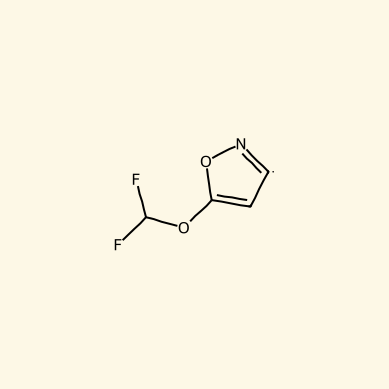 FC(F)Oc1c[c]no1